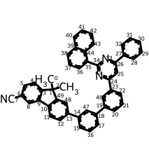 CC1(C)c2ccc(C#N)cc2-c2ccc(-c3cccc(-c4cccc(-c5cc(-c6ccccc6)nc(-c6cccc7ccccc67)n5)c4)c3)cc21